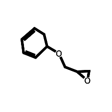 C1=CCC(OCC2CO2)C=C1